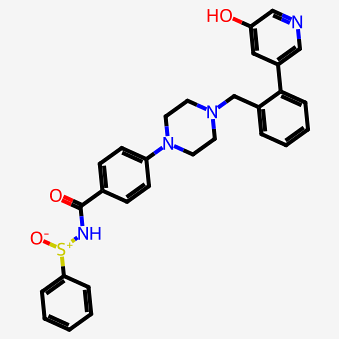 O=C(N[S+]([O-])c1ccccc1)c1ccc(N2CCN(Cc3ccccc3-c3cncc(O)c3)CC2)cc1